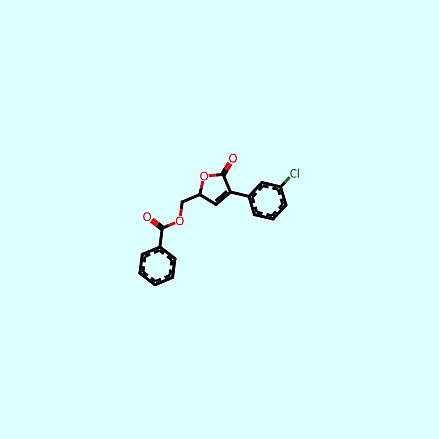 O=C1OC(COC(=O)c2ccccc2)C=C1c1cccc(Cl)c1